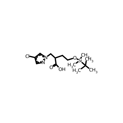 CC(C)(C)[Si](C)(C)OCCC(Cn1cc(Cl)cn1)C(=O)O